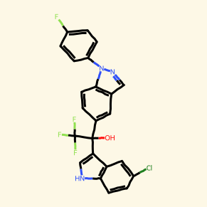 OC(c1ccc2c(cnn2-c2ccc(F)cc2)c1)(c1c[nH]c2ccc(Cl)cc12)C(F)(F)F